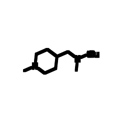 CN1CCC(CN(C)C(C)(C)C)CC1